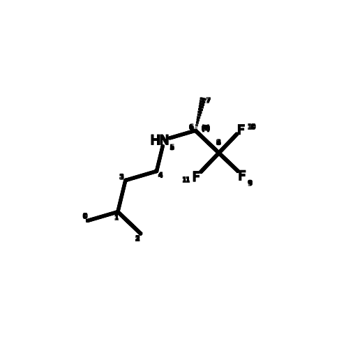 CC(C)CCN[C@H](C)C(F)(F)F